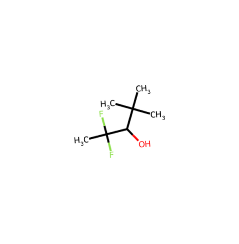 CC(C)(C)C(O)C(C)(F)F